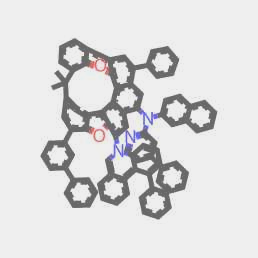 CC1(C)c2cc(-c3cccc(-c4ccccc4)c3)c3oc4c(N5C=c6ccccc6=C6C(c7ccccc7)=CC=CC65)cc5c(N(c6ccc7ccccc7c6)c6cc(-c7ccccc7)ccn6)cc6c(-c7ccccc7)cc7c8cccc1c8oc7c6c5c4c3c2